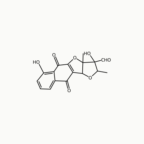 CC1OC2C3=C(OC2(C)C1(O)C=O)C(=O)c1c(O)cccc1C3=O